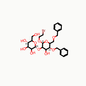 OCC1O[C@H](OC2C(O)[C@H](OCc3ccccc3)C(COCc3ccccc3)O[C@@H]2OCCBr)C(O)C(O)[C@@H]1O